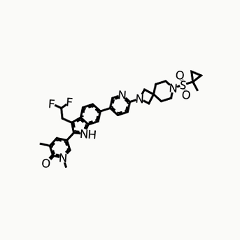 Cc1cc(-c2[nH]c3cc(-c4ccc(N5CC6(CCN(S(=O)(=O)C7(C)CC7)CC6)C5)nc4)ccc3c2CC(F)F)cn(C)c1=O